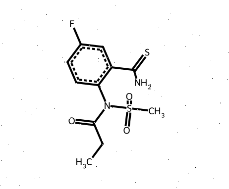 CCC(=O)N(c1c[c]c(F)cc1C(N)=S)S(C)(=O)=O